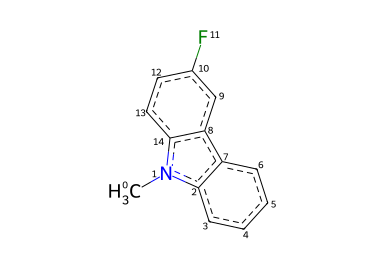 Cn1c2ccccc2c2cc(F)ccc21